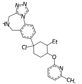 CCC1CC(Cl)(c2ccc3c(c2)CNCc2nncn2-3)CCC1Oc1cccc(C)n1